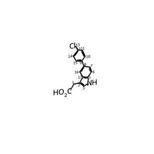 O=C(O)Cc1c[nH]c2ccc(-c3ccc(Cl)cc3)cc12